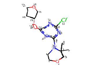 CC1(C)COCCN1c1nc(Cl)nc(O[C@@H]2CCOC2)n1